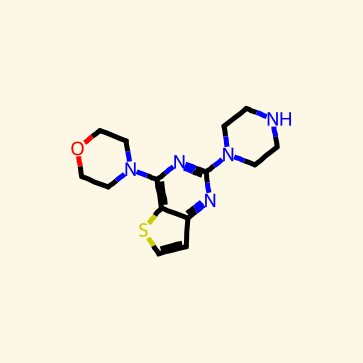 c1cc2nc(N3CCNCC3)nc(N3CCOCC3)c2s1